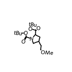 COCCC1CC(C(=O)OC(C)(C)C)N(C(=O)OC(C)(C)C)C1